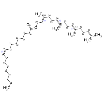 CCCCCCCC/C=C\CCCCCCCC(=O)OC/C=C(\C)CC/C=C(\C)CC/C=C(\C)CCC=C(C)C